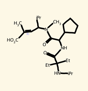 CCC(CC)(NC(C)C)C(=O)NC(C(=O)N(C)C(/C=C(\C)C(=O)O)C(C)C)C1CCCC1